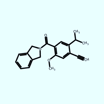 C#Cc1cc(OC)c(C(=O)N2Cc3ccccc3C2)cc1C(C)C